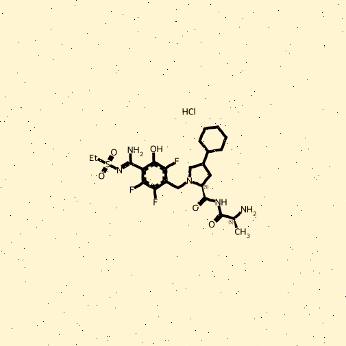 CCS(=O)(=O)N=C(N)c1c(O)c(F)c(CN2CC(C3CCCCC3)C[C@H]2C(=O)NC(=O)[C@H](C)N)c(F)c1F.Cl